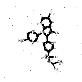 Cc1cnc(-n2c(-c3ccc(S(=O)(=O)N[C@@H](C)C(F)(F)F)cn3)c(C#N)c3cc(C(F)(F)F)cnc32)cn1